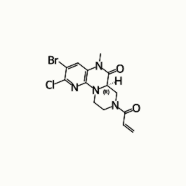 C=CC(=O)N1CCN2c3nc(Cl)c(Br)cc3N(C)C(=O)[C@H]2C1